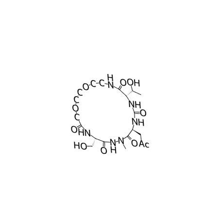 CC(=O)C[C@@H]1NC(=O)N[C@@H](C(C)O)C(=O)NCCOCCOCC(=O)N[C@@H](CO)C(=O)NN(C)C1=O